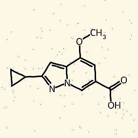 COc1cc(C(=O)O)cn2nc(C3CC3)cc12